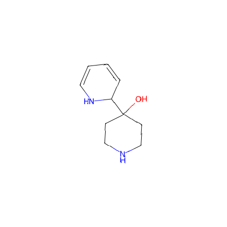 OC1(C2C=CC=CN2)CCNCC1